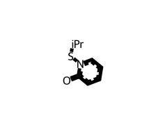 CC(C)Sn1ccccc1=O